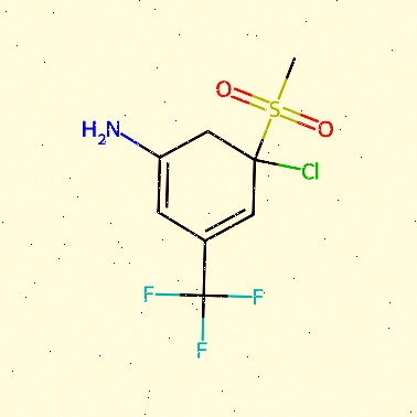 CS(=O)(=O)C1(Cl)C=C(C(F)(F)F)C=C(N)C1